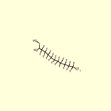 OCC(O)C(F)(F)C(F)(F)C(F)(F)C(F)(F)C(F)(F)C(F)(F)C(F)(F)C(F)(F)C(F)(F)C(F)(F)C(F)(F)F